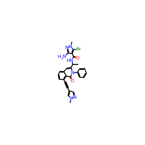 CC(NC(=O)c1c(N)nn(C)c1Br)c1cc2cccc(C#Cc3cnn(C)c3)c2c(=O)n1-c1ccccc1